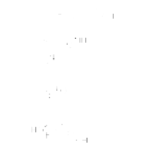 COCC(F)(F)[C@]1(O)CC[C@@H](NC(=O)[C@@H]2CCN(C(=O)c3cc(-c4cc(OC)ccc4F)[nH]n3)C3(CC3)C2)CC1